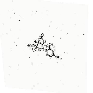 C=C1N=C(N)C=CN1[C@@H]1O[C@](C)(CO)[C@H]2OC(=O)O[C@@H]12